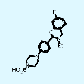 CCN(Cc1ccc(F)cc1)C(=O)c1ccc(N2CCN(C(=O)O)CC2)cc1